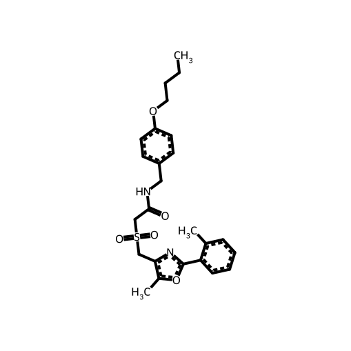 CCCCOc1ccc(CNC(=O)CS(=O)(=O)Cc2nc(-c3ccccc3C)oc2C)cc1